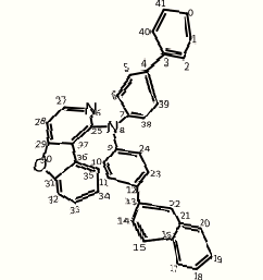 c1ccc(-c2ccc(N(c3ccc(-c4ccc5ccccc5c4)cc3)c3nccc4oc5ccccc5c34)cc2)cc1